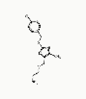 Cc1[nH]c(SCc2ccc(Cl)cc2)nc1CSCCN